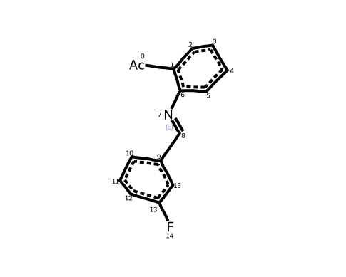 CC(=O)c1ccccc1/N=C/c1cccc(F)c1